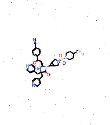 CC1CCN(S(=O)(=O)N2CC3C(C2)C3N2C(=O)C(Cc3ccncc3)(Cc3ccncc3)NC2=CC(=O)c2ccc(C#N)cc2)CC1